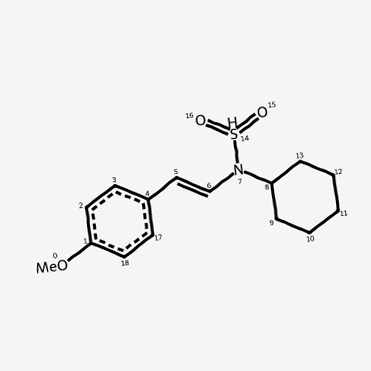 COc1ccc(C=CN(C2CCCCC2)[SH](=O)=O)cc1